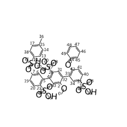 COc1cc(-c2cc(OS(=O)(=O)c3ccc(C)cc3)ccc2S(=O)(=O)O)c(S(=O)(=O)O)cc1-c1cc(S(=O)(=O)O)ccc1Oc1ccccc1